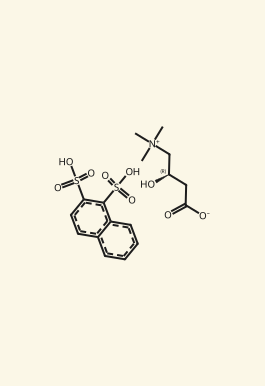 C[N+](C)(C)C[C@H](O)CC(=O)[O-].O=S(=O)(O)c1ccc2ccccc2c1S(=O)(=O)O